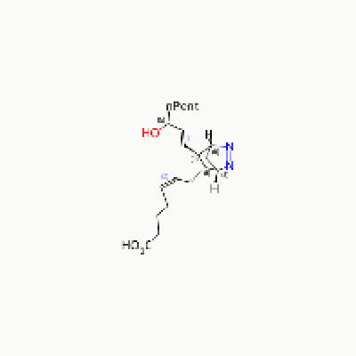 CCCCC[C@H](O)/C=C/[C@@H]1[C@@H](C/C=C\CCCC(=O)O)[C@@H]2C[C@H]1N=N2